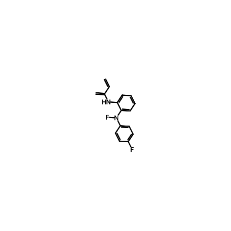 C=CC(=C)Nc1ccccc1N(F)c1ccc(F)cc1